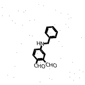 O=Cc1ccc(NCc2ccccc2)cc1C=O